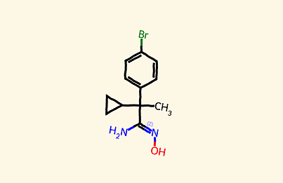 CC(/C(N)=N/O)(c1ccc(Br)cc1)C1CC1